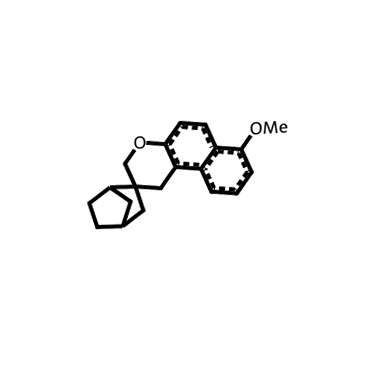 COc1cccc2c3c(ccc12)OCC1(C3)CC2CCC1C2